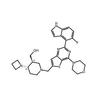 OC[C@H]1CN(Cc2cc3nc(-c4c(F)ccc5[nH]ccc45)nc(N4CCOCC4)c3s2)CC[C@@H]1N1CCC1